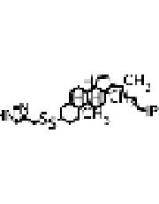 CC(C)CCC[C@@H](C)[C@H]1CC[C@H]2[C@@H]3CC=C4C[C@@H](SSCc5c[nH]cn5)CC[C@]4(C)[C@H]3CC[C@]12C